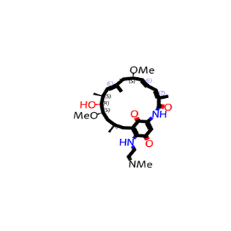 CNCCNC1=C2C[C@@H](C)C[C@H](OC)[C@H](O)[C@@H](C)/C=C(\C)[CH][C@H](OC)/C=C/C=C(/C)C(=O)NC(=CC1=O)C2=O